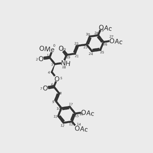 COC(=O)[C@H](COC(=O)C=Cc1ccc(OC(C)=O)c(OC(C)=O)c1)NC(=O)C=Cc1ccc(OC(C)=O)c(OC(C)=O)c1